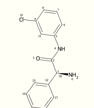 N[C@H](C(=O)Nc1cccc(Cl)c1)c1ccccc1